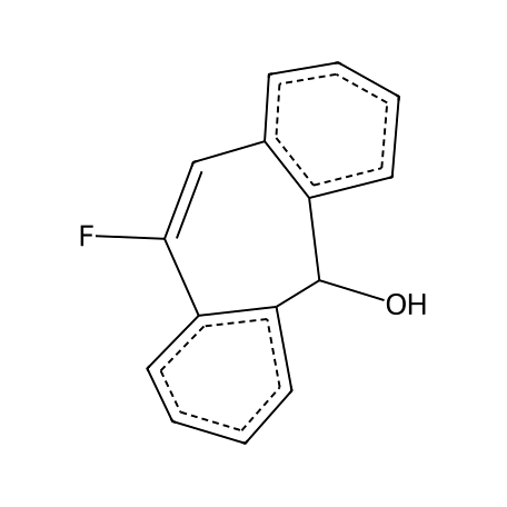 OC1c2ccccc2C=C(F)c2ccccc21